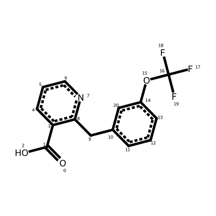 O=C(O)c1cccnc1Cc1cccc(OC(F)(F)F)c1